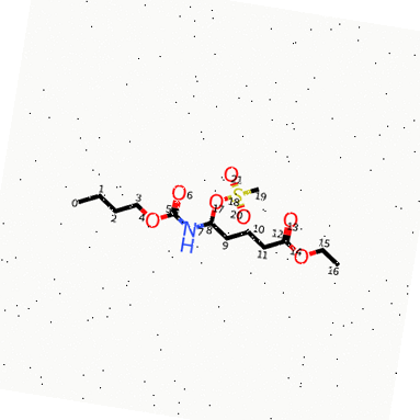 CCCCOC(=O)NC(CCCC(=O)OCC)OS(C)(=O)=O